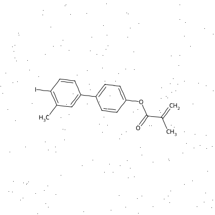 C=C(C)C(=O)Oc1ccc(-c2ccc(I)c(C)c2)cc1